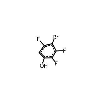 Oc1cc(F)c(Br)c(F)c1F